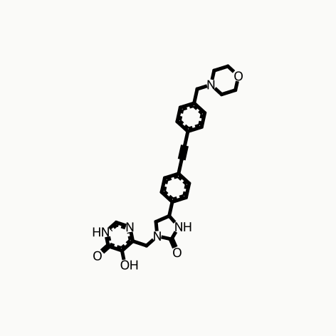 O=C1NC(c2ccc(C#Cc3ccc(CN4CCOCC4)cc3)cc2)CN1Cc1nc[nH]c(=O)c1O